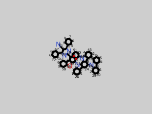 N#Cc1c(-c2ccccc2)nc(-c2ccc(-n3c4ccccc4c4cc(-n5c6ccccc6c6ccccc65)c5c6ccccc6n(-c6ccccc6)c5c43)c3oc4ccccc4c23)nc1-c1ccccc1